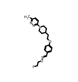 Cc1ccc(N2CCC(CCOc3ccc(C=NOCCF)cc3)CC2)nn1